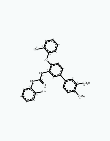 COc1ccc(-c2ccc(Oc3ccccc3C(C)(C)C)c(NC(=O)Nc3ccccc3F)c2)cc1C(=O)O